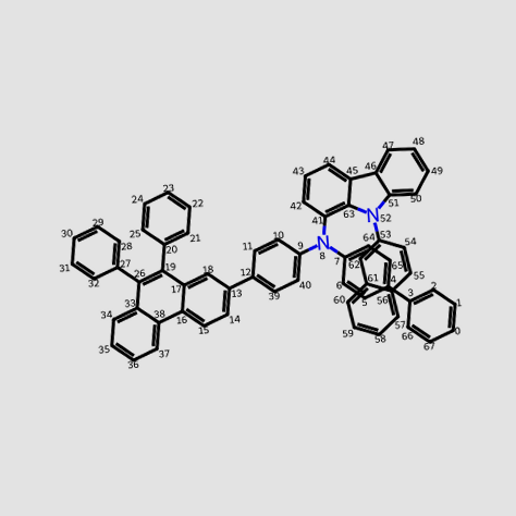 c1ccc(-c2ccc(N(c3ccc(-c4ccc5c(c4)c(-c4ccccc4)c(-c4ccccc4)c4ccccc45)cc3)c3cccc4c5ccccc5n(-c5ccc6ccccc6c5)c34)cc2)cc1